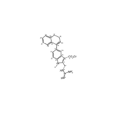 CCOC(=O)c1c(CNC(=N)N)n(C)c2ccc(C3=CCCc4ccccc43)cc12